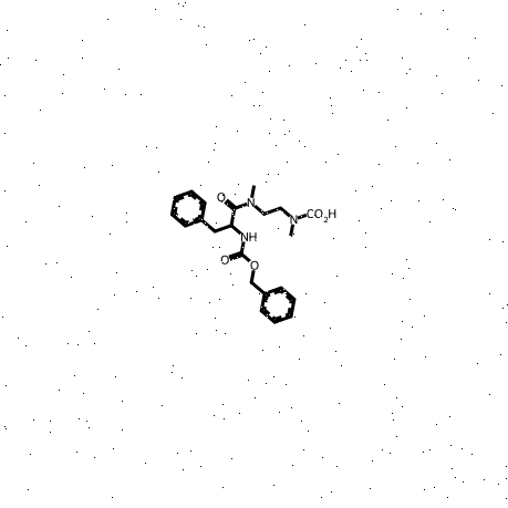 CN(CCN(C)C(=O)C(Cc1ccccc1)NC(=O)OCc1ccccc1)C(=O)O